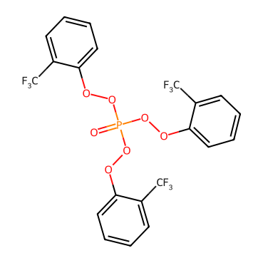 O=P(OOc1ccccc1C(F)(F)F)(OOc1ccccc1C(F)(F)F)OOc1ccccc1C(F)(F)F